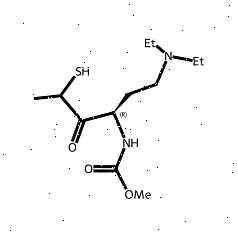 CCN(CC)CC[C@@H](NC(=O)OC)C(=O)C(C)S